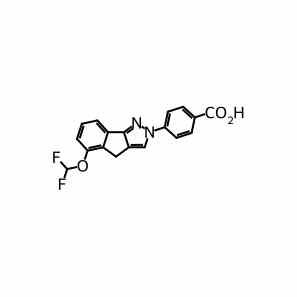 O=C(O)c1ccc(-n2cc3c(n2)-c2cccc(OC(F)F)c2C3)cc1